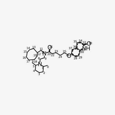 CC1CCCC(C)N1CCN(CC1CCCCCCC1)C(=O)CCCCOc1ccc2[nH]c(=O)ccc2c1